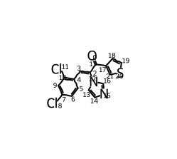 O=C(C(=Cc1ccc(Cl)cc1Cl)n1ccnc1)c1ccsc1